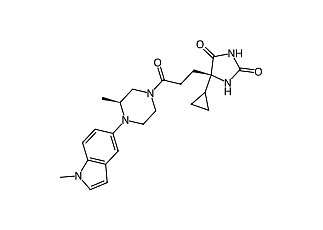 C[C@H]1CN(C(=O)CC[C@]2(C3CC3)NC(=O)NC2=O)CCN1c1ccc2c(ccn2C)c1